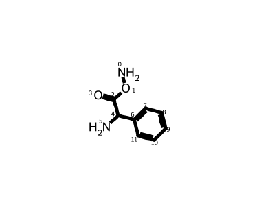 NOC(=O)C(N)c1ccccc1